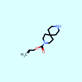 C=CCOC(=O)N1CCC2(CCNCC2)CC1